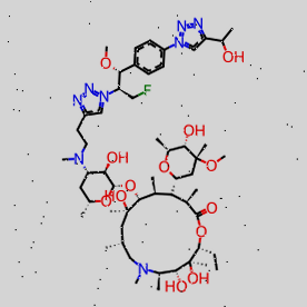 CC[C@H]1OC(=O)[C@H](C)C([C@H]2C[C@@](C)(OC)[C@@H](O)[C@H](C)O2)[C@H](C)[C@@H](O[C@@H]2O[C@H](C)C[C@H](N(C)CCc3cn([C@H](CF)[C@H](OC)c4ccc(-n5cc(C(C)O)nn5)cc4)nn3)[C@H]2O)[C@](C)(O)C[C@@H](C)CN(C)[C@H](C)[C@@H](O)[C@]1(C)O